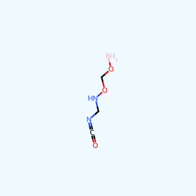 BOCONCN=C=O